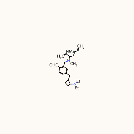 C=CCCC(C(=C)NC)N(C)Cc1cc(CC2CCC2N(CC)CC)ccc1C=O